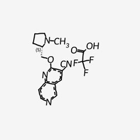 CN1CCC[C@H]1COc1nc2ccncc2cc1C#N.O=C(O)C(F)(F)F